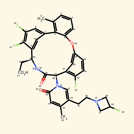 Cc1cccc2c1-c1cc(F)c(F)c(c1)[C@H](CC(=O)O)NC(=O)[C@H](n1cc(CCN3CC(F)C3)c(C(F)(F)F)cc1=O)c1cc(ccc1F)O2